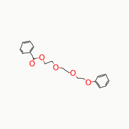 O=C(OCCOCCOCCOc1ccccc1)c1ccccc1